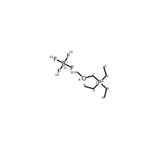 CC[P+](CC)(CC)COC.F[B-](F)(F)F